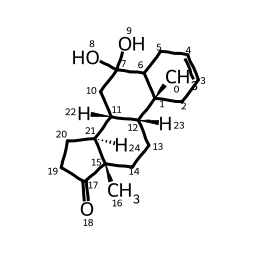 C[C@]12CC=CCC1C(O)(O)C[C@@H]1[C@H]2CC[C@]2(C)C(=O)CC[C@@H]12